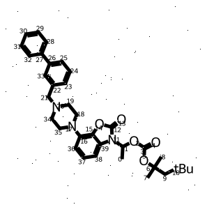 CC(OC(=O)OC(C)(C)CC(C)(C)C)n1c(=O)oc2c(N3CCN(Cc4cccc(-c5ccccc5)c4)CC3)cccc21